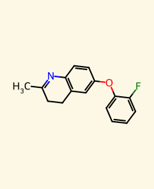 CC1=Nc2ccc(Oc3ccccc3F)cc2CC1